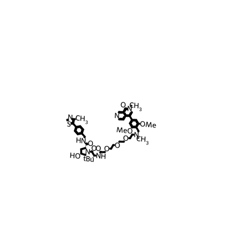 COc1cc(-c2cn(C)c(=O)c3cnccc23)cc(OC)c1CN(C)CCOCCOCCOCC(=O)N[C@@H](C(=O)N1C[C@@H](O)C[C@@H]1C(=O)NCc1ccc(-c2scnc2C)cc1)C(C)(C)C